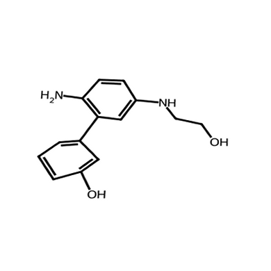 Nc1ccc(NCCO)cc1-c1cccc(O)c1